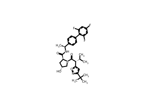 CC(C)[C@@H](C(=O)N1C[C@H](O)C[C@H]1C(=O)N[C@@H](C)c1ccc(-c2c(F)cc(F)cc2F)cc1)c1cc(C(C)(C)C)no1